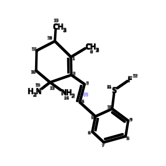 CC1=C(/C=C/c2ccccc2SF)C(N)(N)CCC1C